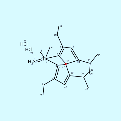 CCC1=[C]([Ti]([CH3])([CH3])(=[SiH2])[C]2=C(CC)C=C(C(C)C)C2)CC(C(C)C)=C1.Cl.Cl